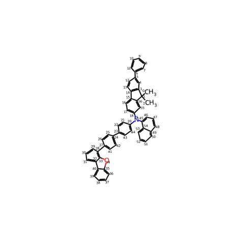 CC1(C)c2cc(-c3ccccc3)ccc2-c2ccc(N(c3ccc(-c4ccc(-c5cccc6c5oc5ccccc56)cc4)cc3)c3cccc4ccccc34)cc21